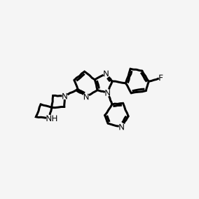 Fc1ccc(-c2nc3ccc(N4CC5(CCN5)C4)nc3n2-c2ccncc2)cc1